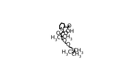 CC(C)(COCOCC[Si](C)(C)C)C(=O)C(=O)N1CCCC[C@H]1C(=O)O